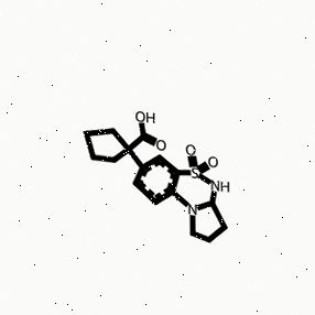 O=C(O)C1(c2ccc3c(c2)S(=O)(=O)NC2CCCN32)CCCC1